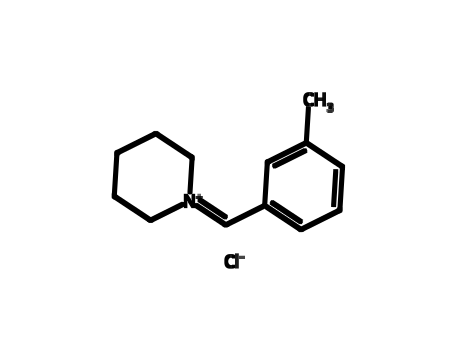 Cc1cccc(C=[N+]2CCCCC2)c1.[Cl-]